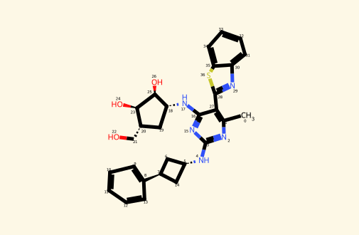 Cc1nc(N[C@H]2C[C@H](c3ccccc3)C2)nc(N[C@@H]2C[C@H](CO)[C@@H](O)[C@H]2O)c1-c1nc2ccccc2s1